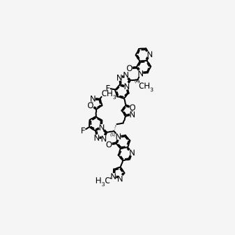 Cc1cc(-c2cc(F)c3nnc([C@H](CCc4cc(-c5cc(F)c6nnc([C@@H](C)n7ccc8ncccc8c7=O)n6c5)on4)n4ccc5ncc(-c6cnn(C)c6)cc5c4=O)n3c2)on1